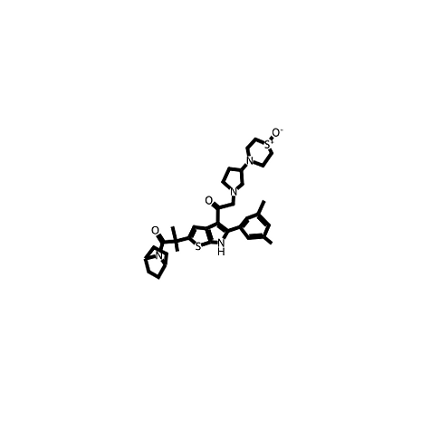 Cc1cc(C)cc(-c2[nH]c3sc(C(C)(C)C(=O)N4C5CCC4CC5)cc3c2C(=O)CN2CCC(N3CC[S+]([O-])CC3)C2)c1